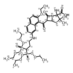 CCOOP(=O)(OOCC)C(CCNc1ccc2ccc(OCC)c(C(=O)C3C(=O)N4C3SC(C)(C)C4(N)C(=O)O)c2c1)P(=O)(OOCC)OOCC